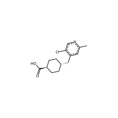 Cc1cc(C[C@H]2CC[C@H](C(=O)O)CC2)c(Cl)cn1